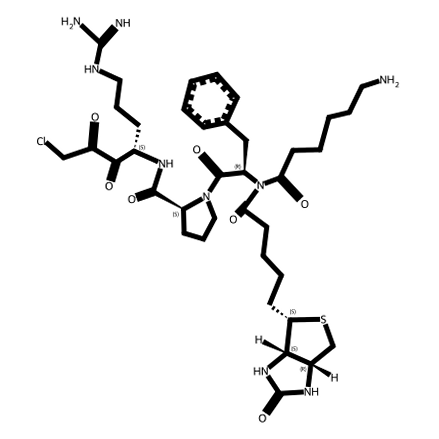 N=C(N)NCCC[C@H](NC(=O)[C@@H]1CCCN1C(=O)[C@@H](Cc1ccccc1)N(C(=O)CCCCCN)C(=O)CCCC[C@@H]1SC[C@@H]2NC(=O)N[C@@H]21)C(=O)C(=O)CCl